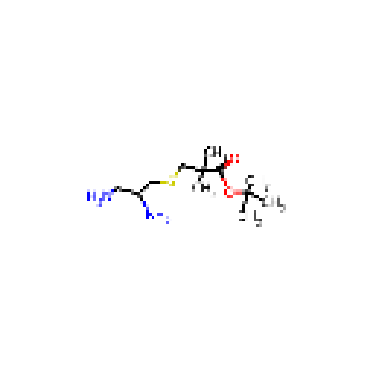 CC(C)(C)OC(=O)C(C)(C)CSCC(N)CN